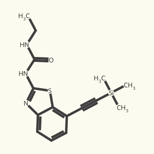 CCNC(=O)Nc1nc2cccc(C#C[Si](C)(C)C)c2s1